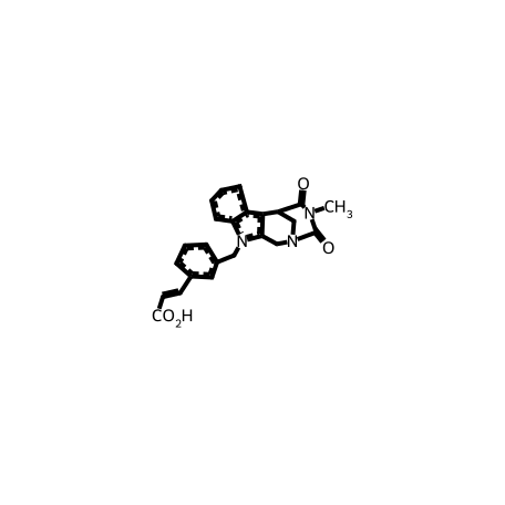 CN1C(=O)C2CN(Cc3c2c2ccccc2n3Cc2cccc(C=CC(=O)O)c2)C1=O